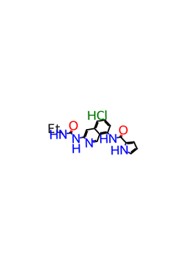 CCNC(=O)Nc1cc2cccc(NC(=O)c3ccc[nH]3)c2cn1.Cl